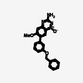 COc1cc2nc(N)n[n+]([O-])c2cc1-c1cccc(OCc2ccccc2)c1